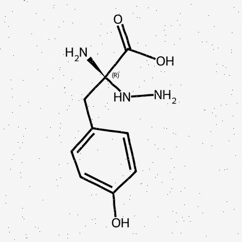 NN[C@](N)(Cc1ccc(O)cc1)C(=O)O